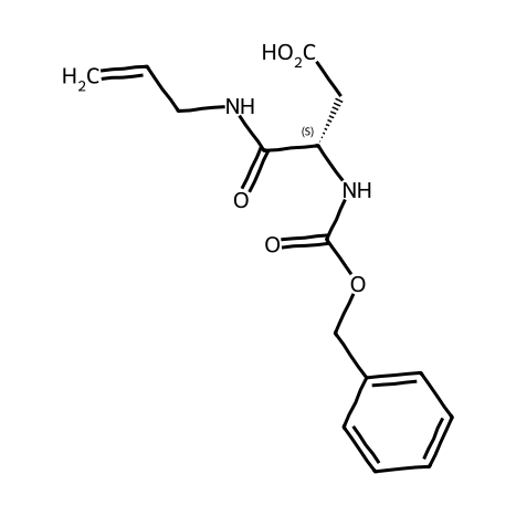 C=CCNC(=O)[C@H](CC(=O)O)NC(=O)OCc1ccccc1